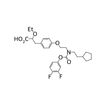 CCOC(Cc1ccc(OCCN(CCC2CCCC2)C(=O)Oc2ccc(F)c(F)c2)cc1)C(=O)O